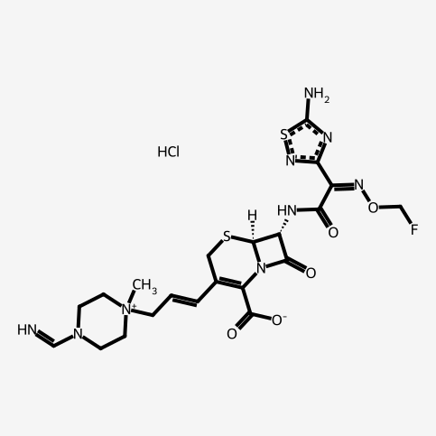 C[N+]1(C/C=C/C2=C(C(=O)[O-])N3C(=O)[C@@H](NC(=O)/C(=N\OCF)c4nsc(N)n4)[C@@H]3SC2)CCN(C=N)CC1.Cl